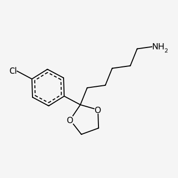 NCCCCCC1(c2ccc(Cl)cc2)OCCO1